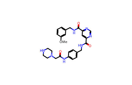 COc1cccc(CNC(=O)c2cc(C(=O)NCc3ccc(NC(=O)CN4CCNCC4)cc3)ncn2)c1